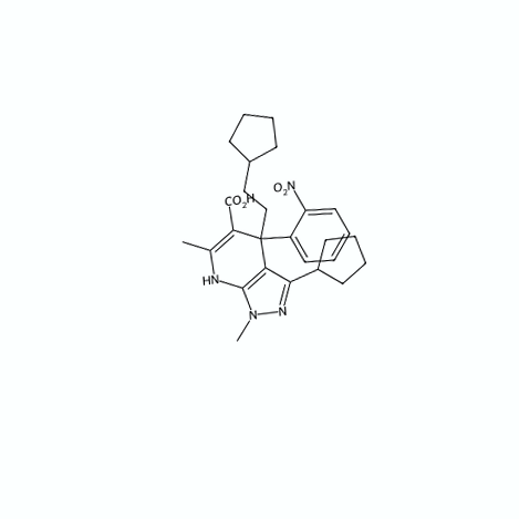 CC1=C(C(=O)O)C(CCC2CCCC2)(c2ccccc2[N+](=O)[O-])c2c(C3CCCC3)nn(C)c2N1